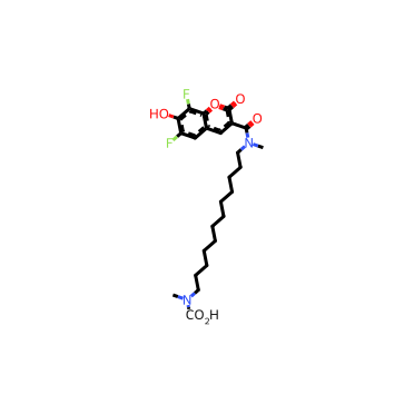 CN(CCCCCCCCCCCCN(C)C(=O)c1cc2cc(F)c(O)c(F)c2oc1=O)C(=O)O